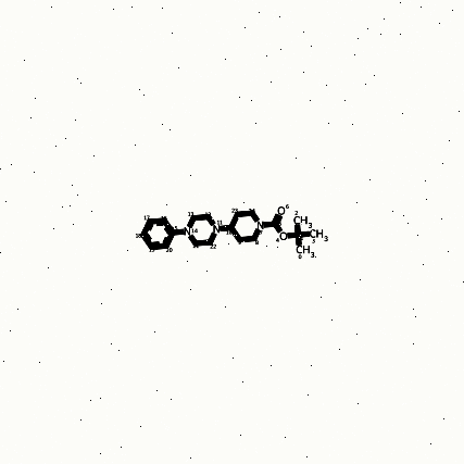 CC(C)(C)OC(=O)N1CCC(N2CCN(c3ccccc3)CC2)CC1